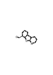 O=Cc1cccc2c1oc1ncccc12